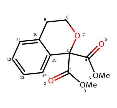 COC(=O)C1(C(=O)OC)OCCc2ccccc21